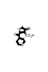 O=C(c1ccncc1)c1scc(Br)c1C(=O)O